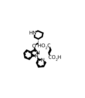 O=C(O)C=CC(=O)O.c1ccc(-n2nc(OC[C@H]3CCCNC3)c3ccccc32)nc1